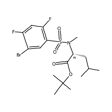 CC(C)C[C@H](C(=O)OC(C)(C)C)N(C)S(=O)(=O)c1cc(Br)c(F)cc1F